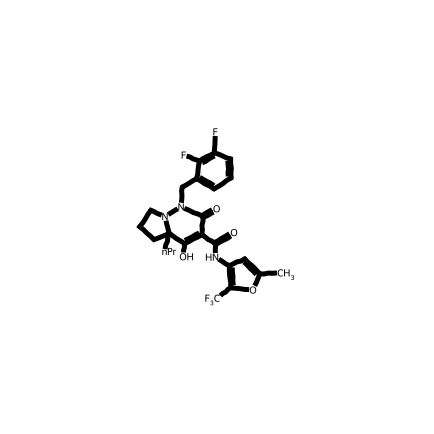 CCCC12CCCN1N(Cc1cccc(F)c1F)C(=O)C(C(=O)Nc1cc(C)oc1C(F)(F)F)=C2O